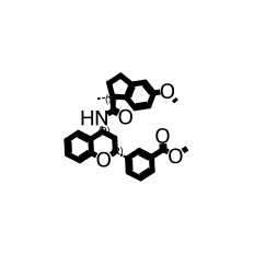 COC(=O)c1cccc([C@H]2C[C@@H](NC(=O)[C@@]3(C)CCc4cc(OC)ccc43)c3ccccc3O2)c1